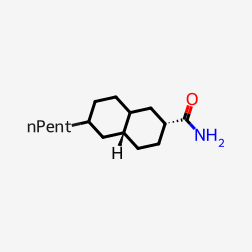 CCCCCC1CCC2C[C@H](C(N)=O)CC[C@@H]2C1